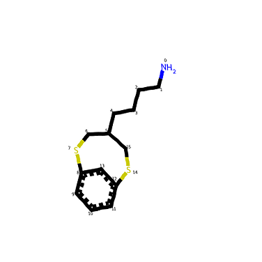 NCCCCC1CSc2cccc(c2)SC1